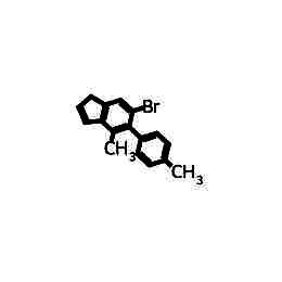 Cc1ccc(-c2c(Br)cc3c(c2C)C=CC3)cc1